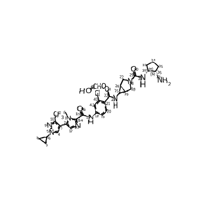 Cn1c(-c2cn(C3CC3)nc2C(F)(F)F)cnc1C(=O)Nc1ccc(C(=O)NC2C3CN(C(=O)N[C@@H]4CCC[C@@H]4N)CC32)c(Cl)c1.O=CO